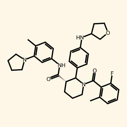 Cc1ccc(NC(=O)[C@H]2CCCN(C(=O)c3c(C)cccc3F)C2c2ccc(NC3CCOC3)cc2)cc1N1CCCC1